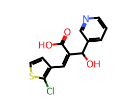 O=C(O)C(=Cc1ccsc1Cl)C(O)c1cccnc1